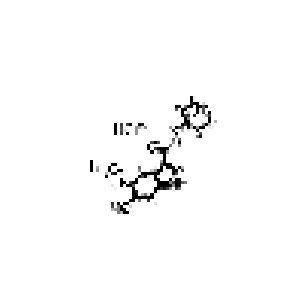 COc1cc2c(C(=O)OCC34CCN(CC3)CC4)c[nH]c2cc1O.Cl